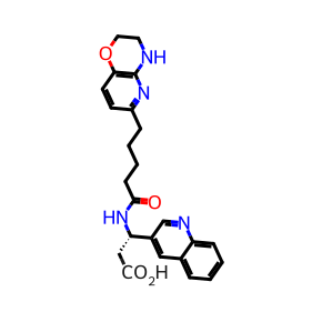 O=C(O)C[C@H](NC(=O)CCCCc1ccc2c(n1)NCCO2)c1cnc2ccccc2c1